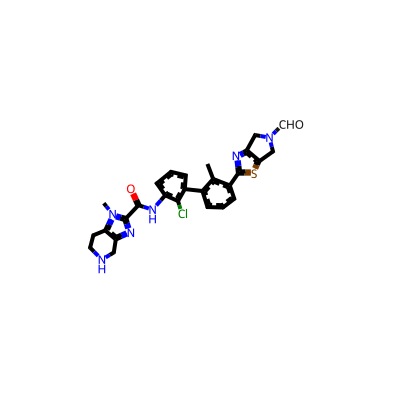 Cc1c(-c2nc3c(s2)CN(C=O)C3)cccc1-c1cccc(NC(=O)c2nc3c(n2C)CCNC3)c1Cl